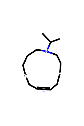 CC(C)N1CCCC/C=C\CCCCC1